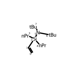 C=C[Si](CCC)(CCC)N(C(C)(C)C)C(C)(C)C